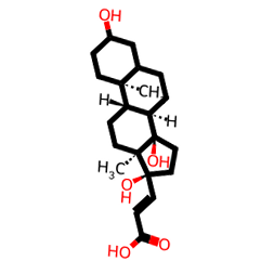 C[C@]12CC[C@H]3[C@@H](CCC4CC(O)CC[C@@]43C)[C@]1(O)CC[C@]2(O)/C=C/C(=O)O